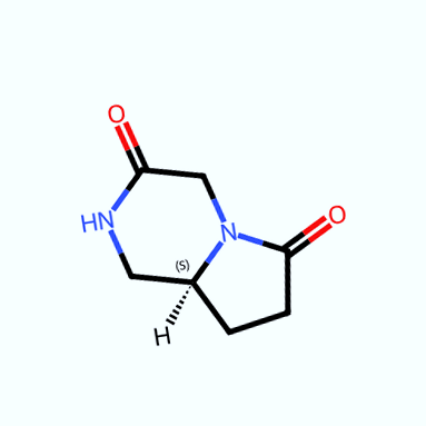 O=C1CN2C(=O)CC[C@H]2CN1